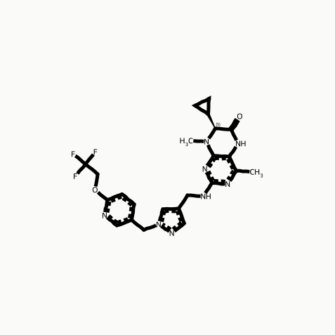 Cc1nc(NCc2cnn(Cc3ccc(OCC(F)(F)F)nc3)c2)nc2c1NC(=O)[C@H](C1CC1)N2C